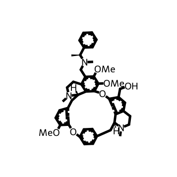 COc1ccc2cc1Oc1ccc(cc1)C[C@H]1c3cc(c(CO)cc3CCN1C)Oc1c(OC)c(OC)c(CN(C)[C@@H](C)c3ccccc3)c3c1[C@H](C2)N(C)CC3